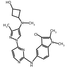 Cc1nn(-c2ccnc(Nc3ccc4c(c3)c(Cl)c(C)n4C)n2)cc1N(C)C1CC(O)C1